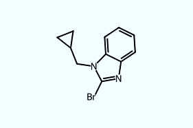 Brc1nc2ccccc2n1CC1CC1